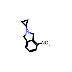 O=[N+]([O-])c1cccc2c1CN(C1CC1)C2